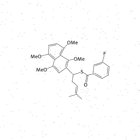 COc1ccc(OC)c2c(OC)c(C(CC=C(C)C)SC(=O)c3cccc(F)c3)cc(OC)c12